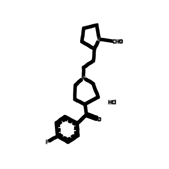 Cl.O=CN1CCCC1CCN1CCC(C(=O)c2ccc(F)cc2)CC1